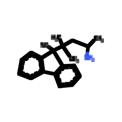 CC(N)CC(C)(C)C1(C#N)c2ccccc2-c2ccccc21